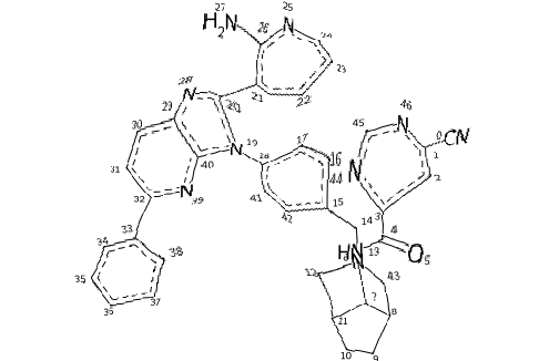 N#Cc1cc(C(=O)NC2C3CCC2CN(Cc2ccc(-n4c(-c5cccnc5N)nc5ccc(-c6ccccc6)nc54)cc2)C3)ncn1